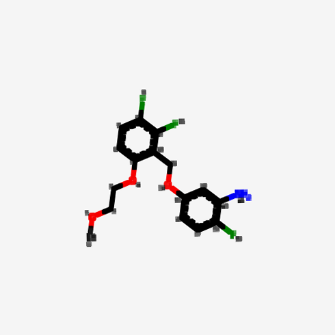 CCOCCOc1ccc(F)c(F)c1COc1ccc(F)c(N)c1